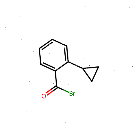 O=C(Br)c1ccccc1C1CC1